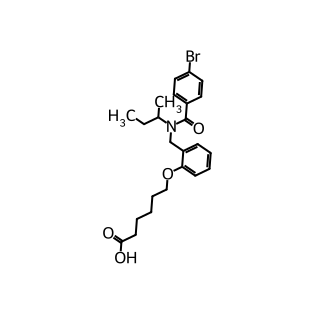 CCC(C)N(Cc1ccccc1OCCCCCC(=O)O)C(=O)c1ccc(Br)cc1